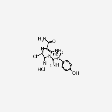 CCCCN(C(=N)N1C(N)=C(C(N)=O)N=C(Cl)C1N)c1ccc(O)cc1.Cl